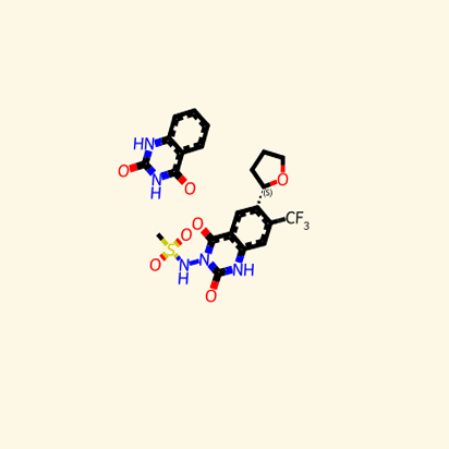 CS(=O)(=O)Nn1c(=O)[nH]c2cc(C(F)(F)F)c([C@@H]3CCCO3)cc2c1=O.O=c1[nH]c(=O)c2ccccc2[nH]1